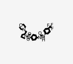 O=C(Nc1ccc(C(F)(F)F)cc1)Nc1ccc(S(=O)(=O)N2CCCC2CN2CCOCC2)cc1